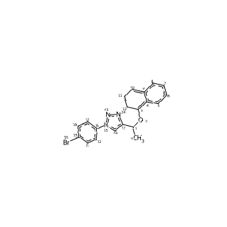 CC(OC1=c2ccccc2=CCC1)c1cn(-c2ccc(Br)cc2)nn1